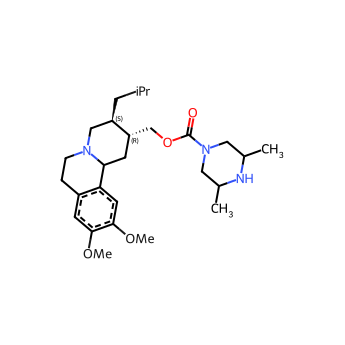 COc1cc2c(cc1OC)C1C[C@@H](COC(=O)N3CC(C)NC(C)C3)[C@H](CC(C)C)CN1CC2